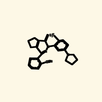 C=C1C2=C(CCC2)C(c2ccccc2OC)=NN1c1cc(N2CCCC2)ccc1C(F)(F)F